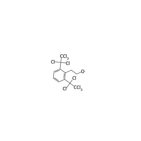 [O]CCc1c(C(Cl)(Cl)C(Cl)(Cl)Cl)cccc1C(Cl)(Cl)C(Cl)(Cl)Cl